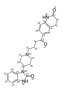 O=C1CCc2cc(C(=O)CCCN3CCC(n4c(=O)[nH]c5ccccc54)CC3)ccc2N1